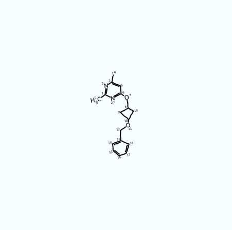 Cc1nc(I)cc(OC2CC(OCc3ccccc3)C2)n1